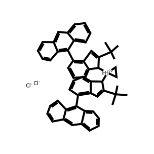 CC(C)(C)C1=Cc2c(-c3c4ccccc4cc4ccccc34)cccc2[CH]1[Hf+2]1([CH]2C(C(C)(C)C)=Cc3c(-c4c5ccccc5cc5ccccc45)cccc32)[CH2][CH2]1.[Cl-].[Cl-]